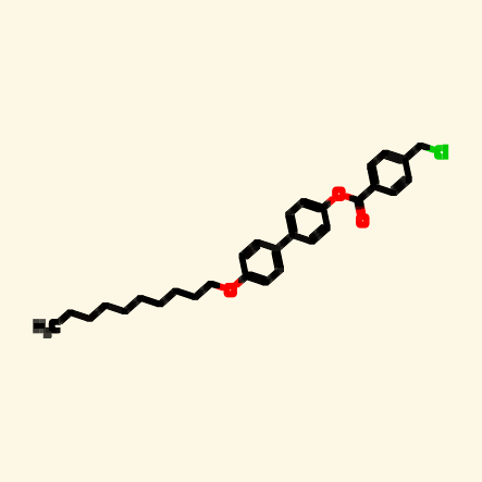 CCCCCCCCCCOc1ccc(-c2ccc(OC(=O)c3ccc(CCl)cc3)cc2)cc1